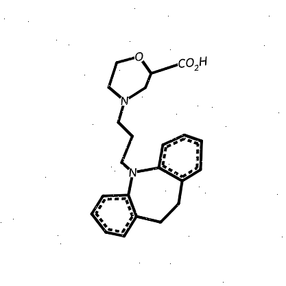 O=C(O)C1CN(CCCN2c3ccccc3CCc3ccccc32)CCO1